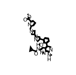 CNc1ncc(-c2cccc(-c3cnn(C4CN(Cc5cccc(C(=O)OC)n5)C4)c3)c2OC)c2cc(NC(=O)C3CC3)nnc12